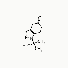 CC(C)(C)n1ncc2c1CCC(=O)C2